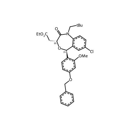 CCOC(=O)C[C@H]1O[C@H](c2ccc(OCc3ccccc3)cc2OC)c2cc(Cl)ccc2N(CC(C)(C)C)C1=O